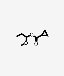 CCC(OC)OC(=O)C1CC1